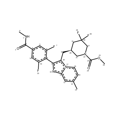 CNC(=O)c1cc(F)c(-c2nc3cc(C)ccn3c2C[C@@H]2CN(C(=O)OC)CC(F)(F)C2)c(F)c1